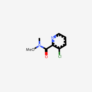 CON(C)C(=O)c1ncccc1Cl